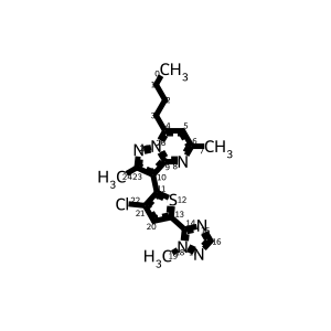 CCCCc1cc(C)nc2c(-c3sc(-c4ncnn4C)cc3Cl)c(C)nn12